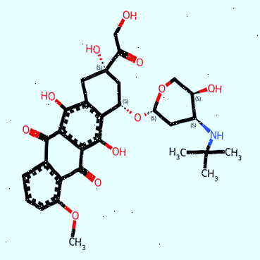 COc1cccc2c1C(=O)c1c(O)c3c(c(O)c1C2=O)C[C@@](O)(C(=O)CO)C[C@@H]3O[C@H]1C[C@H](NC(C)(C)C)[C@H](O)CO1